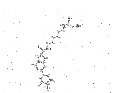 Cc1cc(-c2cc(C)c3oc(C(=O)NCCCCCCNC(=O)OC(C)(C)C)cc3c2)cn(C)c1=O